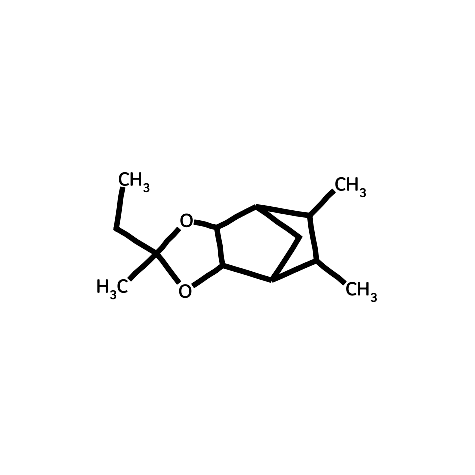 CCC1(C)OC2C3CC(C(C)C3C)C2O1